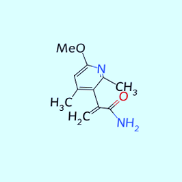 C=C(C(N)=O)c1c(C)cc(OC)nc1C